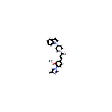 CCOc1cc(C=CC(=O)N2CCC(n3ccc4ccccc43)CC2)ccc1-n1cnc(C)c1